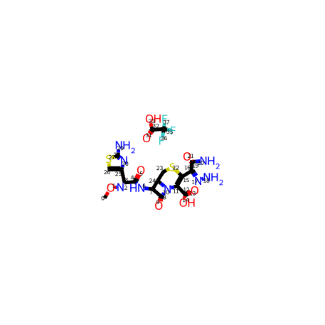 CON=C(C(=O)NC1C(=O)N2C(C(=O)O)=C(C(=NN)C(N)=O)SCC12)c1csc(N)n1.O=C(O)C(F)(F)F